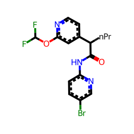 CCCC(C(=O)Nc1ccc(Br)cn1)c1ccnc(OC(F)F)c1